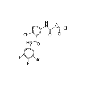 O=C(Nc1cc(F)c(F)c(Br)c1)c1cc(NC(=O)C2CC2(Cl)Cl)ccc1Cl